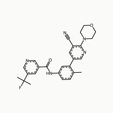 Cc1ccc(NC(=O)c2cncc(C(C)(C)F)c2)cc1-c1cnc(N2CCOCC2)c(C#N)c1